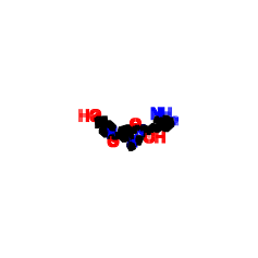 CCN1CCN(C[C@@H](O)CCc2ccccc2CN)C(=O)c2ccc(C(=O)N3CCC4(CC3)CC(O)C4)cc21